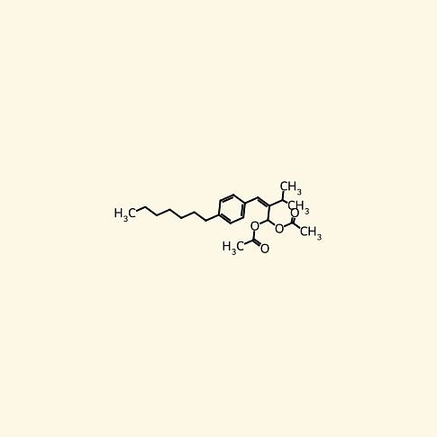 CCCCCCCc1ccc(C=C(C(C)C)C(OC(C)=O)OC(C)=O)cc1